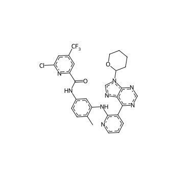 Cc1ccc(NC(=O)c2cc(C(F)(F)F)cc(Cl)n2)cc1Nc1ncccc1-c1ncnc2c1ncn2C1CCCCO1